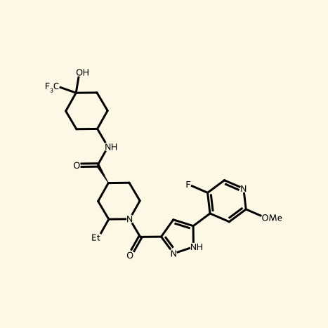 CCC1C[C@@H](C(=O)NC2CCC(O)(C(F)(F)F)CC2)CCN1C(=O)c1cc(-c2cc(OC)ncc2F)[nH]n1